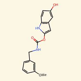 COc1cccc(CNC(=O)Oc2cc3cc(O)ccc3[nH]2)c1